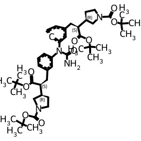 CC(C)(C)OC(=O)[C@@H](Cc1cccc(N(C(N)=O)c2cccc(C[C@H](C(=O)OC(C)(C)C)[C@H]3CCN(C(=O)OC(C)(C)C)C3)c2)c1)[C@H]1CCN(C(=O)OC(C)(C)C)C1